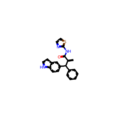 C=C(C(=O)Nc1nccs1)C(c1ccccc1)c1ccc2[nH]ccc2c1